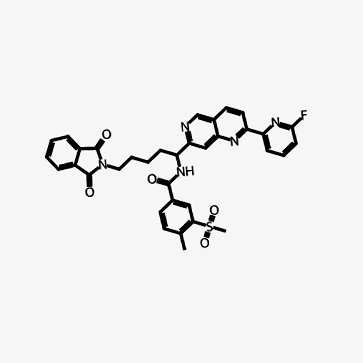 Cc1ccc(C(=O)NC(CCCCN2C(=O)c3ccccc3C2=O)c2cc3nc(-c4cccc(F)n4)ccc3cn2)cc1S(C)(=O)=O